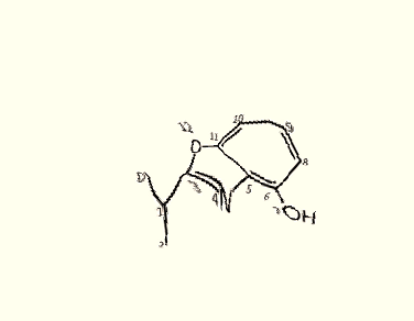 CC(C)c1nc2c(O)cccc2o1